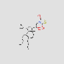 CCCC1C(CC)CCC2C1CCC1(C)C(C(=O)CN3C(=O)CSC3=O)CC(C3CC3)C21